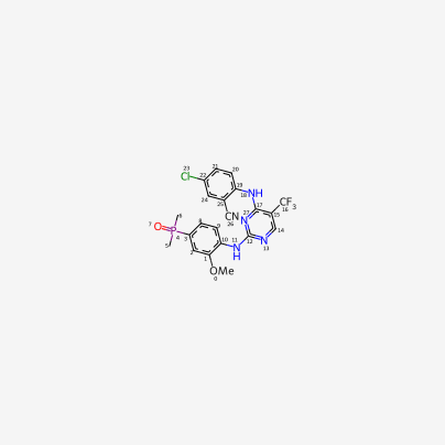 COc1cc(P(C)(C)=O)ccc1Nc1ncc(C(F)(F)F)c(Nc2ccc(Cl)cc2C#N)n1